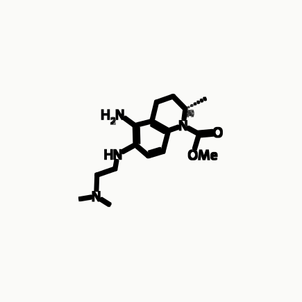 COC(=O)N1c2ccc(NCCN(C)C)c(N)c2CC[C@@H]1C